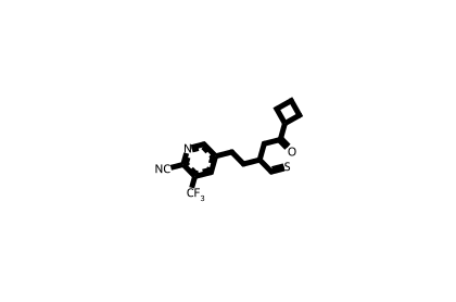 N#Cc1ncc(CCC(C=S)CC(=O)C2CCC2)cc1C(F)(F)F